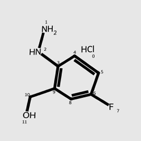 Cl.NNc1ccc(F)cc1CO